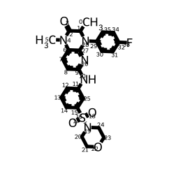 CC1C(=O)N(C)c2ccc(Nc3cccc(S(=O)(=O)N4CCOCC4)c3)nc2N1c1ccc(F)cc1